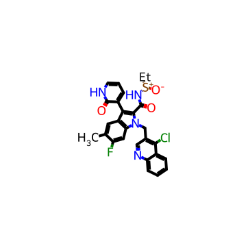 CC[S+]([O-])NC(=O)c1c(-c2ccc[nH]c2=O)c2cc(C)c(F)cc2n1Cc1cnc2ccccc2c1Cl